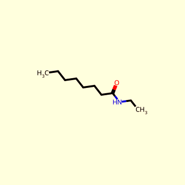 CCCCCCCC(=O)NCC